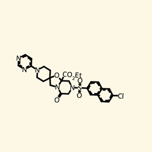 CCOC(=O)C12CN(S(=O)(=O)c3ccc4cc(Cl)ccc4c3)CC(=O)N1CC1(CCN(c3ccncn3)CC1)O2